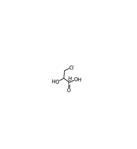 O=[PH](O)C(O)CCl